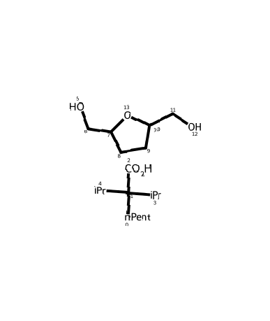 CCCCCC(C(=O)O)(C(C)C)C(C)C.OCC1CCC(CO)O1